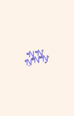 CN=C(N=C(N(C)C)N(C)C)N(C)C